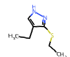 CCSc1n[nH]cc1CC